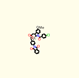 COc1ccc2c(c1)C(CC(=O)OCc1ccc(N3C(=O)c4ccccc4C3=O)cc1)C(C)N2C(=O)c1ccc(Cl)cc1